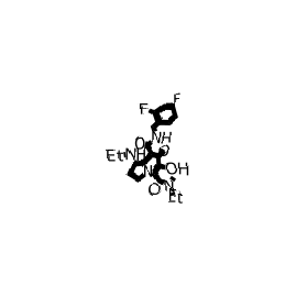 CCNC1CCn2c(C(=O)N(C)CC)c(O)c(=O)c(C(=O)NCc3ccc(F)cc3F)c21